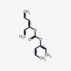 C=C/C=C(\C=C)OC(=O)OC(/C=C\C)=C/C